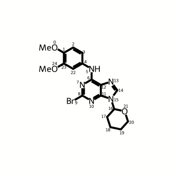 COc1ccc(Nc2nc(Br)nc3c2ncn3C2CCCCO2)cc1OC